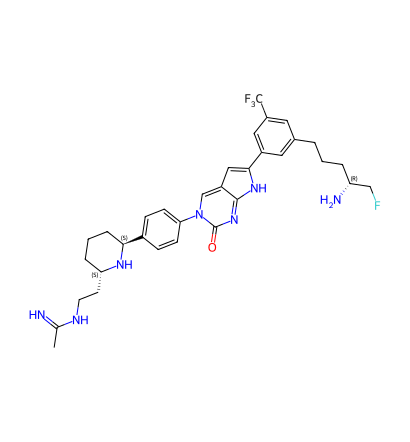 CC(=N)NCC[C@@H]1CCC[C@@H](c2ccc(-n3cc4cc(-c5cc(CCC[C@@H](N)CF)cc(C(F)(F)F)c5)[nH]c4nc3=O)cc2)N1